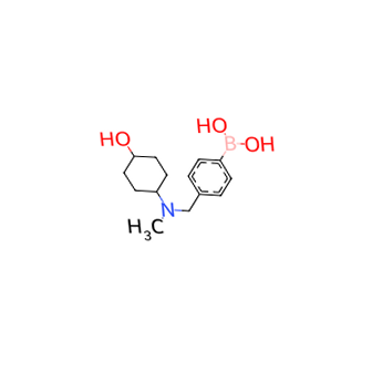 CN(Cc1ccc(B(O)O)cc1)C1CCC(O)CC1